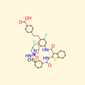 CNC(=O)N1C2CCC1CN(Cc1cccc(C(=O)Nc3sc4ccccc4c3C(=O)Nc3cc(F)c(CCc4ccc(C(=O)O)cc4)c(F)c3)c1)C2